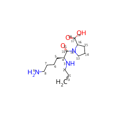 C=CCN[C@@H](CCCCN)C(=O)N1CCCC1C(=O)O